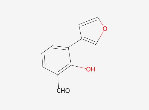 O=Cc1cccc(-c2ccoc2)c1O